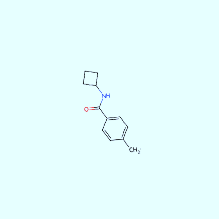 [CH2]c1ccc(C(=O)NC2CCC2)cc1